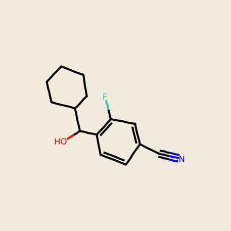 N#Cc1ccc(C(O)C2CCCCC2)c(F)c1